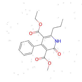 CCCc1[nH]c(=O)c(C(=O)OC)c(-c2ccccc2)c1C(=O)OCC